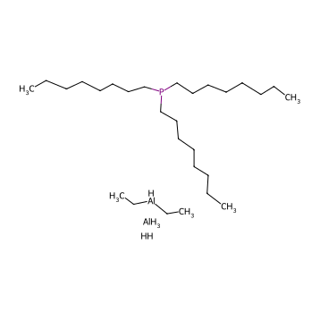 CCCCCCCCP(CCCCCCCC)CCCCCCCC.C[CH2][AlH][CH2]C.[AlH3].[HH]